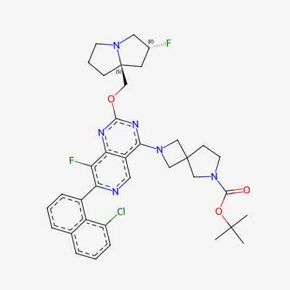 CC(C)(C)OC(=O)N1CCC2(C1)CN(c1nc(OC[C@@]34CCCN3C[C@H](F)C4)nc3c(F)c(-c4cccc5cccc(Cl)c45)ncc13)C2